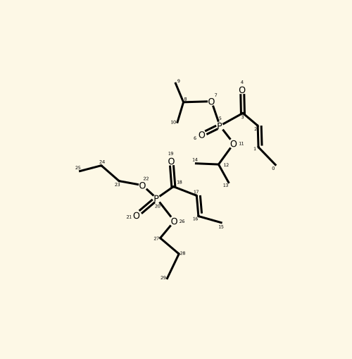 CC=CC(=O)P(=O)(OC(C)C)OC(C)C.CC=CC(=O)P(=O)(OCCC)OCCC